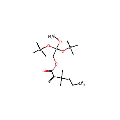 C=C(C(=O)OC[Si](O[SiH3])(O[Si](C)(C)C)O[Si](C)(C)C)C(C)(C)CCC(F)(F)F